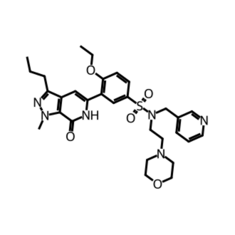 CCCc1nn(C)c2c(=O)[nH]c(-c3cc(S(=O)(=O)N(CCN4CCOCC4)Cc4cccnc4)ccc3OCC)cc12